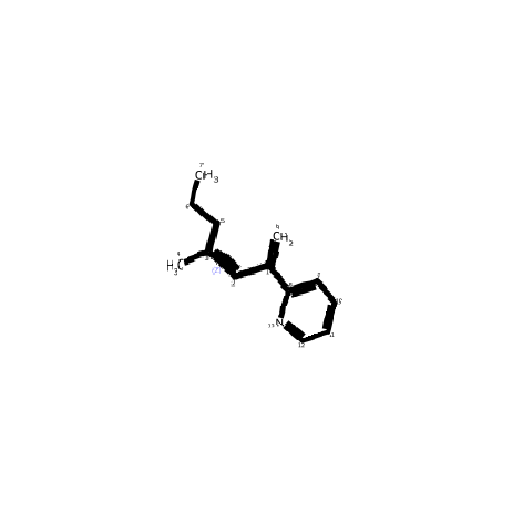 C=C(/C=C(/C)CCC)c1ccccn1